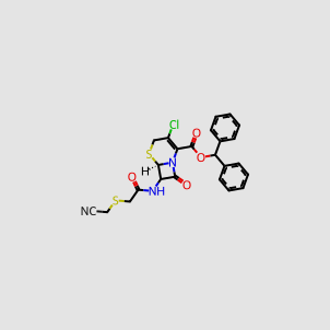 N#CCSCC(=O)NC1C(=O)N2C(C(=O)OC(c3ccccc3)c3ccccc3)=C(Cl)CS[C@H]12